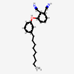 CCCCCCCCCc1cccc(Oc2cccc(C#N)c2C#N)c1